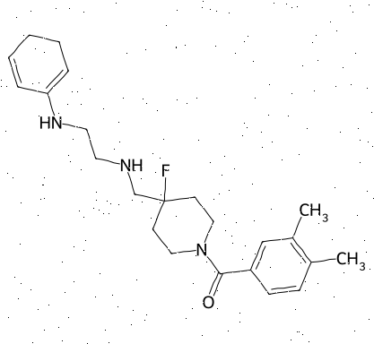 Cc1ccc(C(=O)N2CCC(F)(CNCCNC3=CCCC=C3)CC2)cc1C